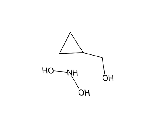 OCC1CC1.ONO